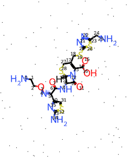 NCCO/N=C(\C(=O)NC1C(=O)N2C(C(=O)O)=C(CSc3nnc(CN)s3)CS[C@H]12)c1csc(N)n1